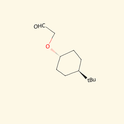 CC(C)(C)[C@H]1CC[C@H](OCC=O)CC1